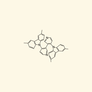 Cc1ccc2c(c1)c1cc(C)ccc1n2-c1ccncc1-c1cnccc1-n1c2ccc(C)cc2c2cc(C)ccc21